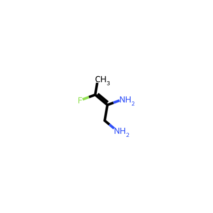 C/C(F)=C(\N)CN